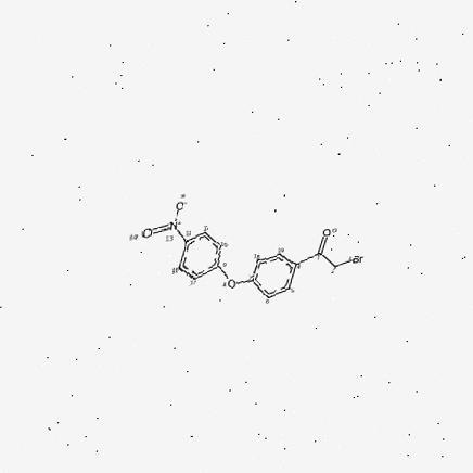 O=C(CBr)c1ccc(Oc2ccc([N+](=O)[O-])cc2)cc1